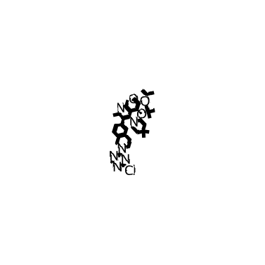 Cc1nc(C)c([C@H](OC(C)(C)C)C(=O)OC(C)C)c(N2CCC(C)(C)CC2)c1-c1ccc2c(c1)CCN(c1ncnc(Cl)n1)C2